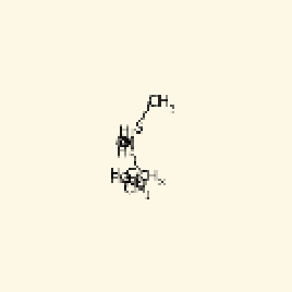 CCCCCCSCC[C@H]1[C@@H](CCCCCC(C)(C)C(=O)N(C)O)[C@H]2CC[C@@H]1O2